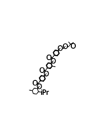 Cc1cc(C(=O)Oc2ccc(C(=O)OC3CC(C)CCC3C(C)C)cc2)ccc1OC(=O)c1ccc(OCOCC2(C)CO2)cc1